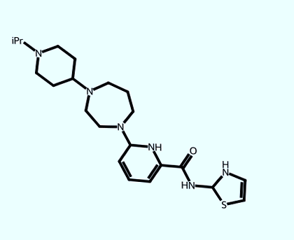 CC(C)N1CCC(N2CCCN(C3C=CC=C(C(=O)NC4NC=CS4)N3)CC2)CC1